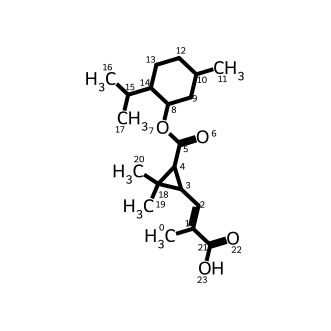 C/C(=C\C1C(C(=O)OC2CC(C)CCC2C(C)C)C1(C)C)C(=O)O